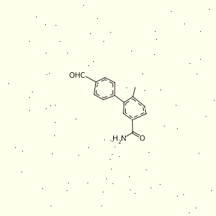 Cc1ccc(C(N)=O)cc1-c1ccc(C=O)cc1